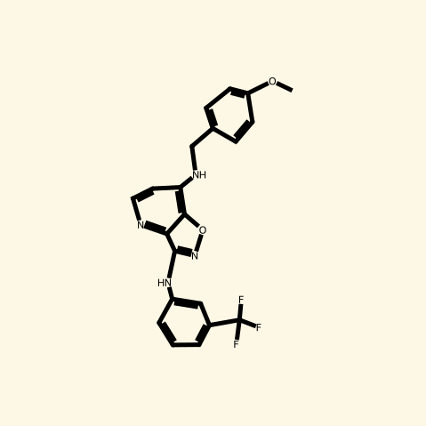 COc1ccc(CNc2ccnc3c(Nc4cccc(C(F)(F)F)c4)noc23)cc1